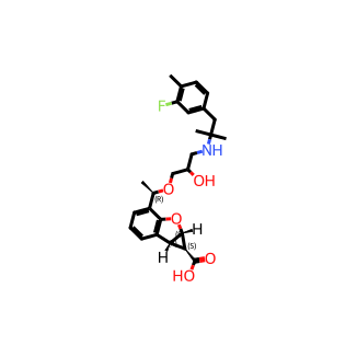 Cc1ccc(CC(C)(C)NCC(O)CO[C@H](C)c2cccc3c2O[C@@H]2[C@@H](C(=O)O)[C@H]32)cc1F